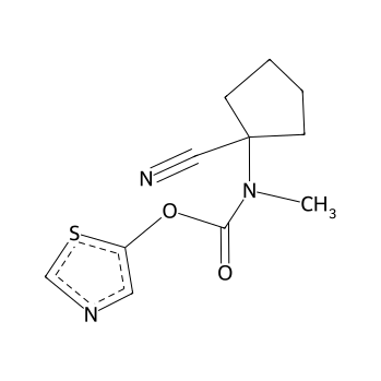 CN(C(=O)Oc1cncs1)C1(C#N)CCCC1